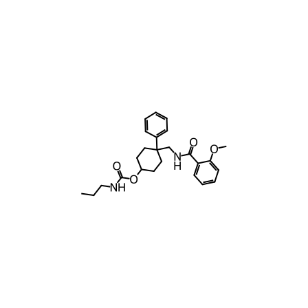 CCCNC(=O)OC1CCC(CNC(=O)c2ccccc2OC)(c2ccccc2)CC1